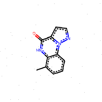 Cc1cccc2c1[nH]c(=O)c1ccnn12